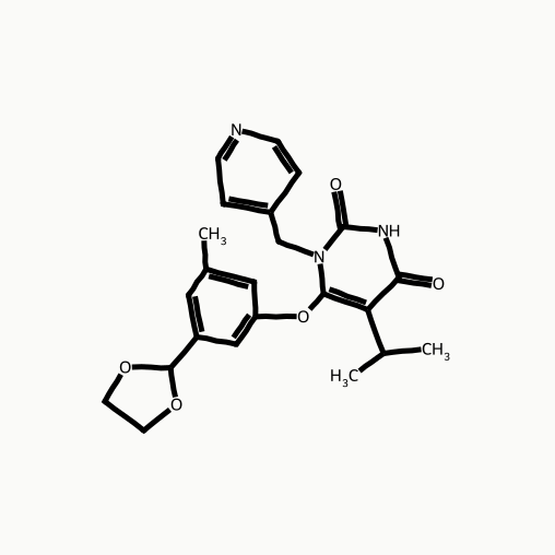 Cc1cc(Oc2c(C(C)C)c(=O)[nH]c(=O)n2Cc2ccncc2)cc(C2OCCO2)c1